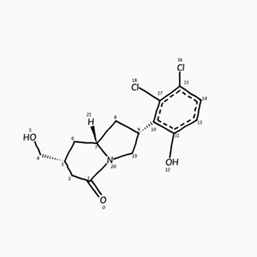 O=C1C[C@H](CO)C[C@@H]2C[C@H](c3c(O)ccc(Cl)c3Cl)CN12